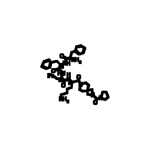 CC(C)C[C@@H](NC(=O)[C@@H](Cc1ccccc1)NC(=O)[C@H](N)Cc1ccccc1)C(=O)N[C@H](CCCCN)C(=O)N1CCC2(CC1)CN(C(=O)N1CCCC1)C2